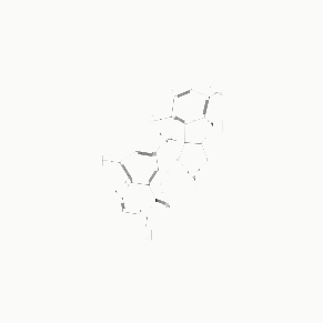 CC(C)n1cnc2c(F)cc(N[C@@]3(c4c(F)ccc(Cl)c4Cl)CCNC3)cc2c1=O